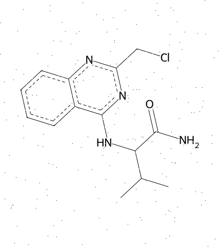 CC(C)C(Nc1nc(CCl)nc2ccccc12)C(N)=O